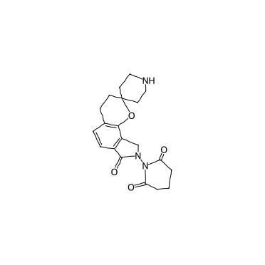 O=C1c2ccc3c(c2CN1N1C(=O)CCCC1=O)OC1(CCNCC1)CC3